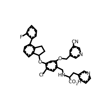 N#Cc1cncc(COc2cc(OC3CCc4c(-c5ccccc5F)cccc43)c(Cl)cc2CNC(Cc2cccnc2)C(=O)O)c1